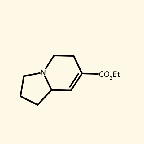 CCOC(=O)C1=CC2CCCN2CC1